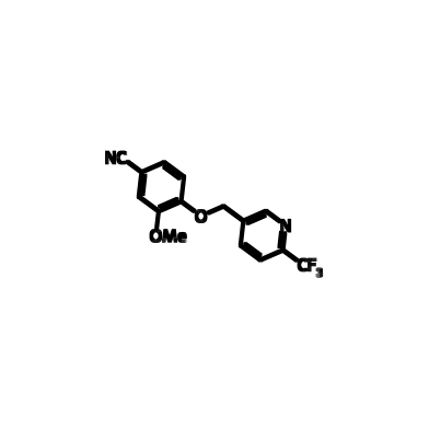 COc1cc(C#N)ccc1OCc1ccc(C(F)(F)F)nc1